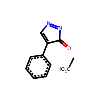 CC(=O)O.O=C1N=NC=C1c1ccccc1